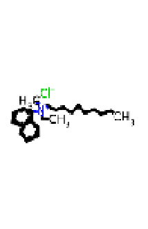 CCCCCCCCCC[N+](C)(CC)c1cccc2ccccc12.[Cl-]